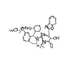 COc1ccccc1C1c2cc(C(=O)O)ccc2CCN1c1nc(-c2nc3ccccc3o2)c(O)c(=O)n1C